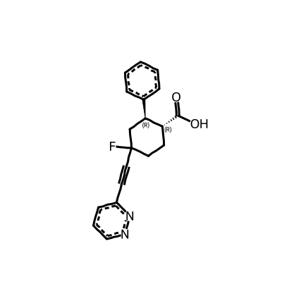 O=C(O)[C@@H]1CCC(F)(C#Cc2cccnn2)C[C@H]1c1ccccc1